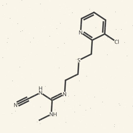 CN/C(=N/CCSCc1ncccc1Cl)NC#N